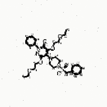 CCOCCOc1nn(-c2ccccc2)c(=O)c(OCCOCC)c1N1CCN(S(=O)(=O)Cc2ccccc2)CC1